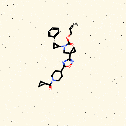 C=CCOC(=O)N(CC1(c2noc(C3CCN(C(=O)C4CC4)CC3)n2)CC1)[C@H]1C[C@@H]1c1ccccc1